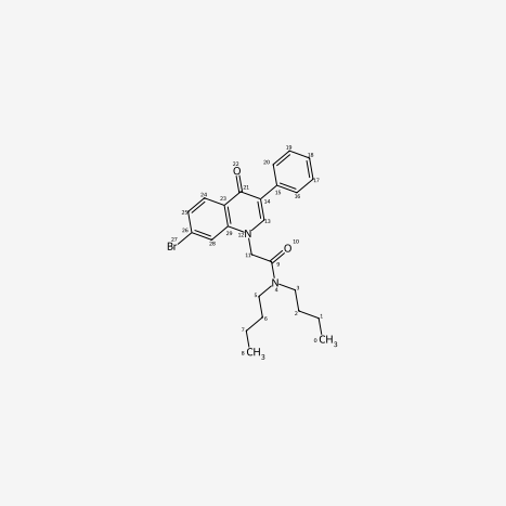 CCCCN(CCCC)C(=O)Cn1cc(-c2ccccc2)c(=O)c2ccc(Br)cc21